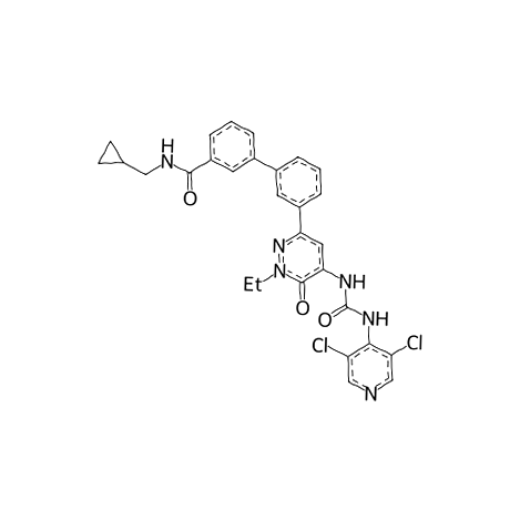 CCn1nc(-c2cccc(-c3cccc(C(=O)NCC4CC4)c3)c2)cc(NC(=O)Nc2c(Cl)cncc2Cl)c1=O